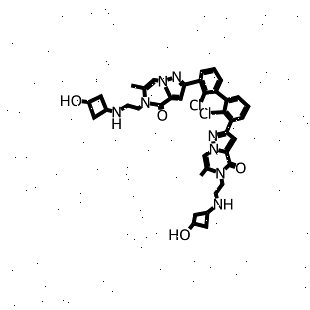 Cc1cn2nc(-c3cccc(-c4cccc(-c5cc6c(=O)n(CCNC7CC(O)C7)c(C)cn6n5)c4Cl)c3Cl)cc2c(=O)n1CCNC1CC(O)C1